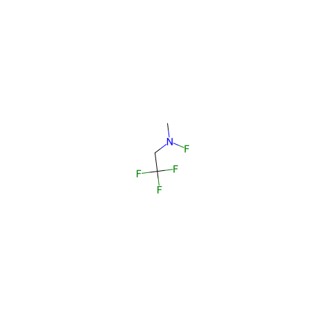 CN(F)CC(F)(F)F